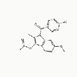 COc1ccc2c(OC(C)=O)c(C)n(C(=O)c3ccc(Cl)cc3)c2c1